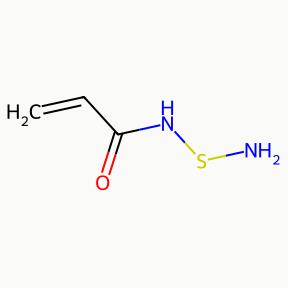 C=CC(=O)NSN